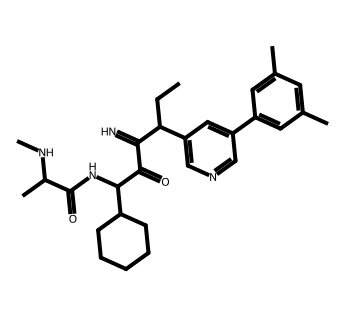 CCC(C(=N)C(=O)C(NC(=O)C(C)NC)C1CCCCC1)c1cncc(-c2cc(C)cc(C)c2)c1